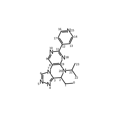 CCC1c2nncn2-c2cnc(-c3ccncc3)nc2N1C(C)C